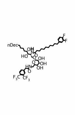 CCCCCCCCCCCCCC[C@@H](O)[C@@H](O)[C@H](CO[C@H]1OC(CNC(=O)Cc2ccc(C(F)(F)F)c(C(F)(F)F)c2)[C@H](O)[C@H](O)C1O)NC(=O)CCCCCCCCCCc1ccc(F)c(F)c1